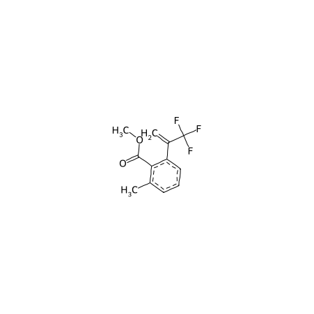 C=C(c1cccc(C)c1C(=O)OC)C(F)(F)F